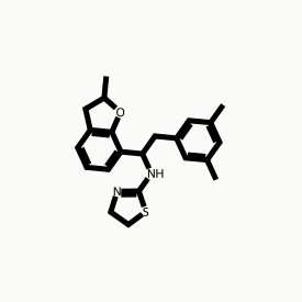 Cc1cc(C)cc(CC(NC2=NCCS2)c2cccc3c2OC(C)C3)c1